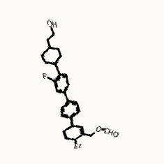 CCC1CCC(c2ccc(-c3ccc(C4CCC(CCO)CC4)c(F)c3)cc2)C=C1COC=O